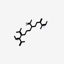 C=C(CCC(CCCC(=C(C)C)/C(=C\C)C(=C)C)C(C)=S)/C(C)=C\C